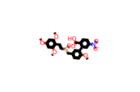 COc1cc(OC)c(C=C[S+]([O-])Cc2ccc(OC)c(-c3cc([N+](=O)[O-])ccc3C(=O)O)c2)c(OC)c1